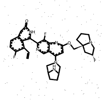 C=Cc1c(F)ccc2cc(=O)[nH]c(-c3ncc4c(N5CC6CCC(C5)N6)cc(OC[C@@]56CCCN5C[C@H](F)C6)nc4c3F)c12